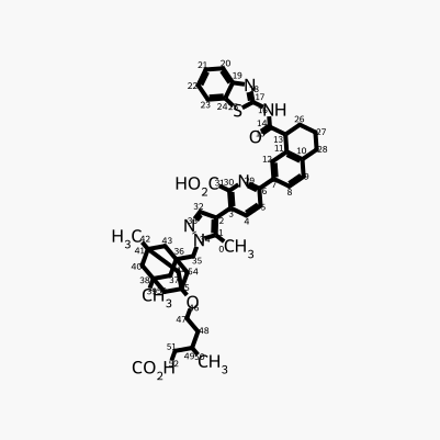 Cc1c(-c2ccc(-c3ccc4c(c3)C(C(=O)Nc3nc5ccccc5s3)CCC4)nc2C(=O)O)cnn1CC12CC3(C)CC(C)(C1)CC(OCCC(C)CC(=O)O)(C3)C2